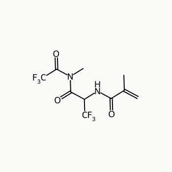 C=C(C)C(=O)NC(C(=O)N(C)C(=O)C(F)(F)F)C(F)(F)F